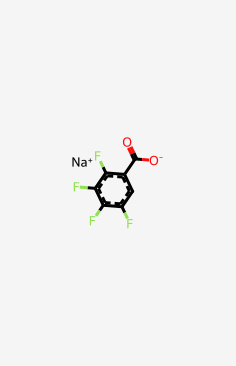 O=C([O-])c1cc(F)c(F)c(F)c1F.[Na+]